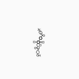 CC(C)(C)N1CCN(C(=O)c2ccc(-c3cc(Cl)c(CC4CCN(C5CCC(O)CC5)C4=O)c(Cl)c3)cc2)CC1.Cl